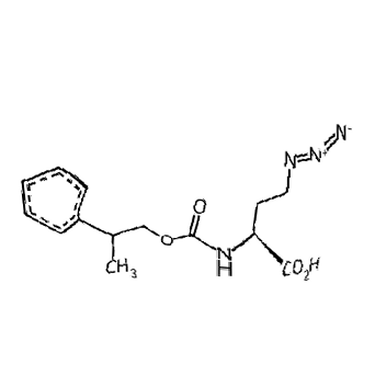 CC(COC(=O)N[C@@H](CCN=[N+]=[N-])C(=O)O)c1ccccc1